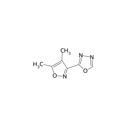 Cc1onc(-c2nnco2)c1C